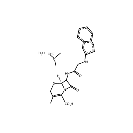 CC1=C(C(=O)O)N2C(=O)C(NC(=O)CNc3ccc4ccccc4c3)[C@@H]2SC1.CN(C)C=O.O